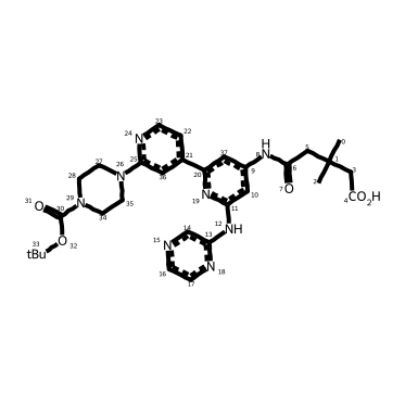 CC(C)(CC(=O)O)CC(=O)Nc1cc(Nc2cnccn2)nc(-c2ccnc(N3CCN(C(=O)OC(C)(C)C)CC3)c2)c1